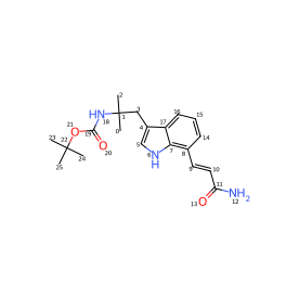 CC(C)(Cc1c[nH]c2c(/C=C/C(N)=O)cccc12)NC(=O)OC(C)(C)C